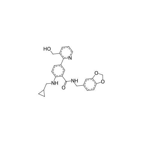 O=C(NCc1ccc2c(c1)OCO2)c1cc(-c2ncccc2CO)ccc1NCC1CC1